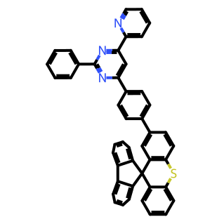 c1ccc(-c2nc(-c3ccc(-c4ccc5c(c4)C4(c6ccccc6S5)c5ccccc5-c5ccccc54)cc3)cc(-c3ccccn3)n2)cc1